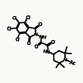 CC(=O)N1C(C)(C)CC(NC(=O)C(=O)NN2C(=O)c3c(Cl)c(Cl)c(Cl)c(Cl)c3C2=O)CC1(C)C